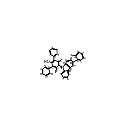 N#Cc1c(-c2ccccc2)c(F)c(-n2c3ccccc3c3cc4c(cc32)sc2ccccc24)c(F)c1-c1ccccc1